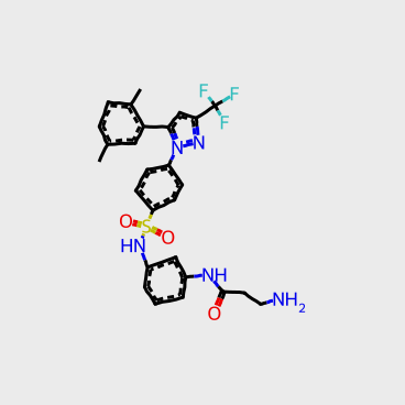 Cc1ccc(C)c(-c2cc(C(F)(F)F)nn2-c2ccc(S(=O)(=O)Nc3cccc(NC(=O)CCN)c3)cc2)c1